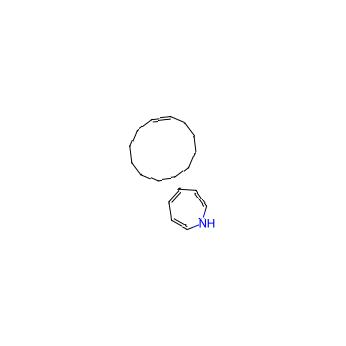 C1=CC=CNC=C1.C1=CCCCCCCCCCC1